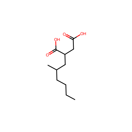 CCCCC(C)CC(CC(=O)O)C(=O)O